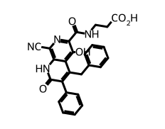 N#Cc1nc(C(=O)NCCC(=O)O)c(O)c2c(Cc3ccccc3)c(-c3ccccc3)c(=O)[nH]c12